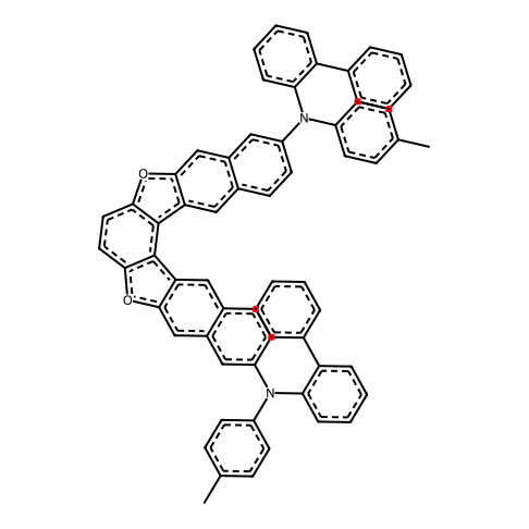 Cc1ccc(N(c2ccc3cc4c(cc3c2)oc2ccc3oc5cc6cc(N(c7ccc(C)cc7)c7ccccc7-c7ccccc7)ccc6cc5c3c24)c2ccccc2-c2ccccc2)cc1